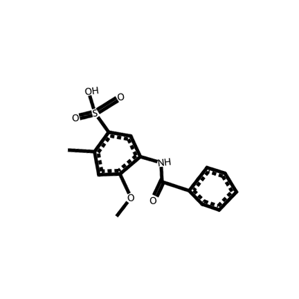 COc1cc(C)c(S(=O)(=O)O)cc1NC(=O)c1ccccc1